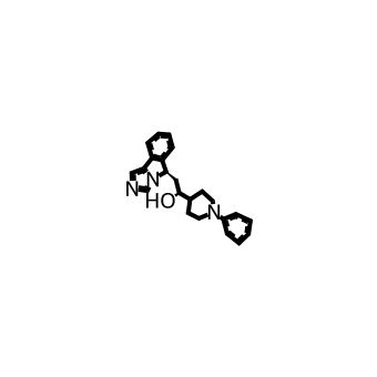 O[C@@H](C[C@@H]1c2ccccc2-c2cncn21)C1CCN(c2ccccc2)CC1